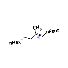 CCCCC/C=C(\C)CCCCCCCC